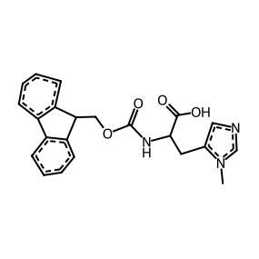 Cn1cncc1CC(NC(=O)OCC1c2ccccc2-c2ccccc21)C(=O)O